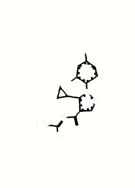 NC(N)=NC(=O)c1cnn(-c2ccc(Cl)cc2C(F)(F)F)c1C1CC1